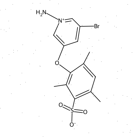 Cc1cc(C)c(S(=O)(=O)[O-])c(C)c1Oc1cc(Br)c[n+](N)c1